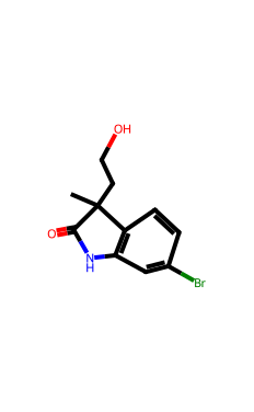 CC1(CCO)C(=O)Nc2cc(Br)ccc21